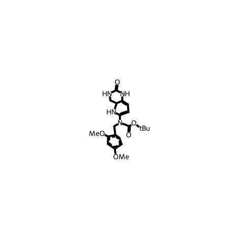 COc1ccc(CN(C(=O)OC(C)(C)C)C2=CC=C3NC(=O)NCC3N2)c(OC)c1